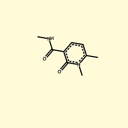 CNC(=O)c1ccc(C)n(C)c1=O